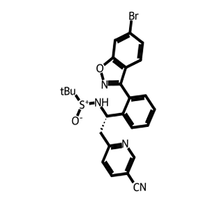 CC(C)(C)[S+]([O-])N[C@@H](Cc1ccc(C#N)cn1)c1ccccc1-c1noc2cc(Br)ccc12